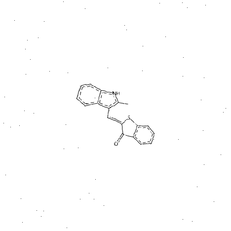 Cc1[nH]c2ccccc2c1C=C1Sc2ccccc2C1=O